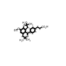 CCOc1cc2c(c3c1OC(C)(C)C3)C(c1ccc(CCC(=O)O)cc1)=NC(C)(C)C2